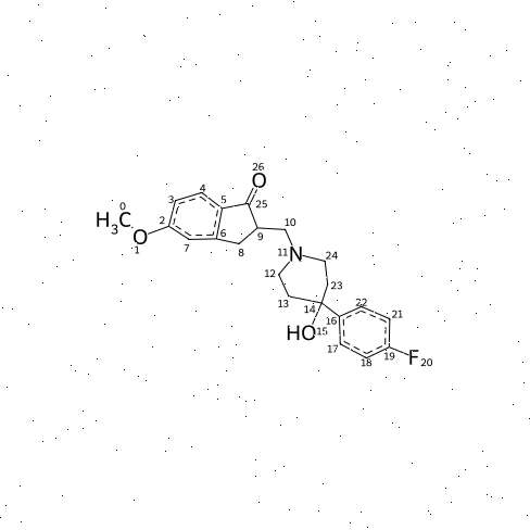 COc1ccc2c(c1)CC(CN1CCC(O)(c3ccc(F)cc3)CC1)C2=O